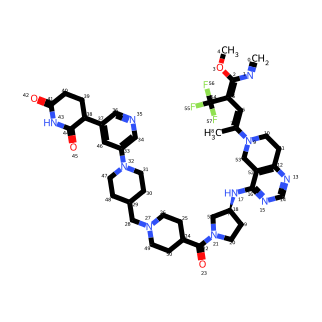 C=N/C(OC)=C(\C=C(/C)N1CCc2ncnc(N[C@H]3CCN(C(=O)C4CCN(CC5CCN(c6cncc(C7CCC(=O)NC7=O)c6)CC5)CC4)C3)c2C1)C(F)(F)F